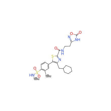 CC(C)(C)NS(=O)(=O)c1ccc(-c2sc(C(=O)NCCc3noc(=O)[nH]3)nc2CC2CCCCC2)cc1C(C)(C)C